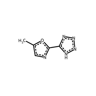 Cc1cnc(-c2nnn[nH]2)o1